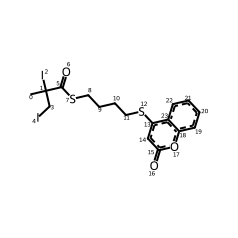 CC(I)(CI)C(=O)SCCCCSc1cc(=O)oc2ccccc12